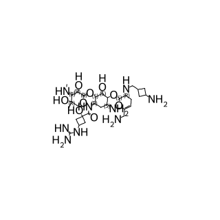 CN[C@@H]1[C@@H](O)[C@@H](O[C@H]2[C@H](NC(=O)C3(O)CC(NC(=N)N)C3)C[C@H](N)C(O[C@H]3OC(CN)=CC[C@H]3NCC3CC(N)C3)[C@@H]2O)OC[C@]1(C)O